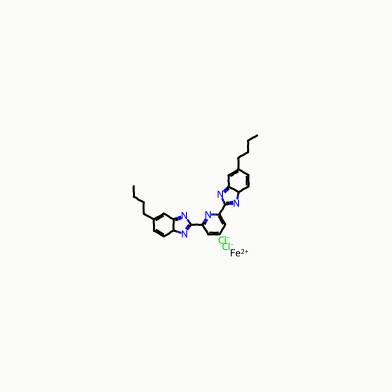 CCCCC1=CC2=NC(c3cccc(C4=NC5C=CC(CCCC)=CC5=N4)n3)=NC2C=C1.[Cl-].[Cl-].[Fe+2]